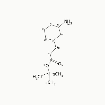 CC(C)(C)OC(=O)COC1CCCC(N)C1